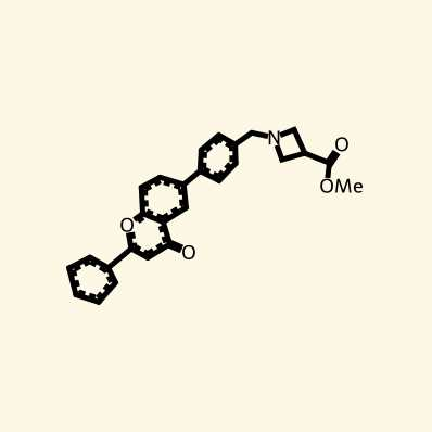 COC(=O)C1CN(Cc2ccc(-c3ccc4oc(-c5ccccc5)cc(=O)c4c3)cc2)C1